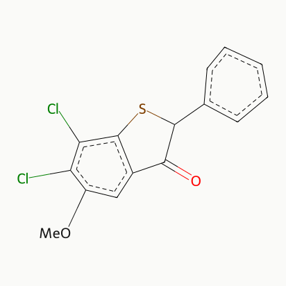 COc1cc2c(c(Cl)c1Cl)SC(c1ccccc1)C2=O